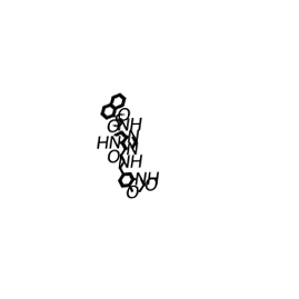 O=C1COc2ccc(CNC(=O)c3ncnc4c(NS(=O)(=O)c5cccc6ccccc56)c[nH]c34)cc2N1